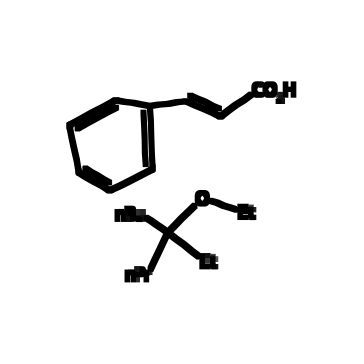 CCCCC(CC)(CCC)OCC.O=C(O)C=Cc1ccccc1